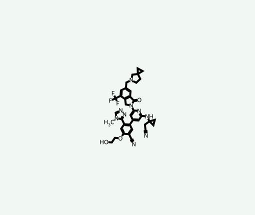 Cn1cnnc1-c1cc(OCCO)c(C#N)cc1-c1cc(NC2(CC#N)CC2)nc(N2Cc3c(cc(CN4CCC5(CC5)C4)cc3C(F)(F)F)C2=O)c1